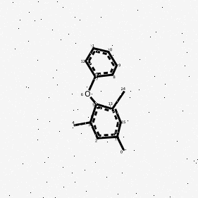 Cc1cc(C)c(Oc2c[c]ccc2)c(C)c1